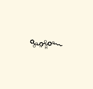 CCCCCCOc1ccc(NC(=O)c2ccc(COC(=O)c3ccccc3)nc2)cc1